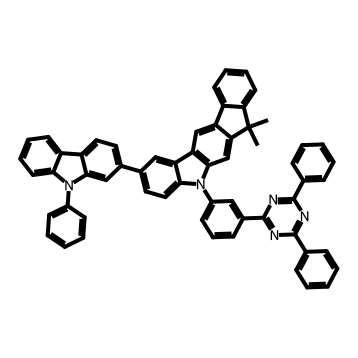 CC1(C)c2ccccc2-c2cc3c4cc(-c5ccc6c7ccccc7n(-c7ccccc7)c6c5)ccc4n(-c4cccc(-c5nc(-c6ccccc6)nc(-c6ccccc6)n5)c4)c3cc21